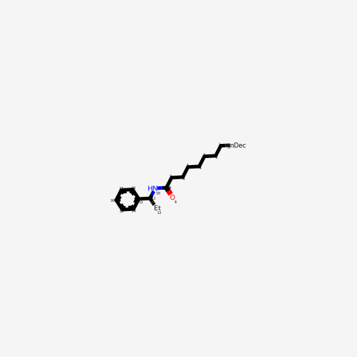 CCCCCCCCCCCCCCCCCC(=O)NC(CC)c1ccccc1